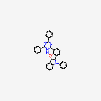 c1ccc(C2=NC(c3ccccc3)NC(c3cccc4c3OC3c5ccccc5N(c5ccccc5)C43)=N2)cc1